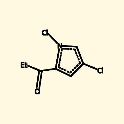 CCC(=O)c1cc(Cl)cn1Cl